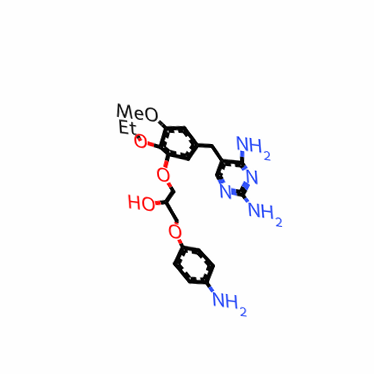 CCOc1c(OC)cc(Cc2cnc(N)nc2N)cc1OCC(O)COc1ccc(N)cc1